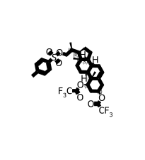 Cc1ccc(S(=O)(=O)OC[C@@H](C)[C@H]2CC[C@H]3[C@@H]4CC=C5C[C@@H](OC(=O)C(F)(F)F)C[C@H](OC(=O)C(F)(F)F)[C@]5(C)[C@H]4CC[C@]23C)cc1